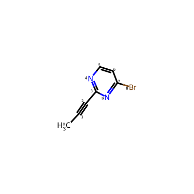 CC#Cc1nccc(Br)n1